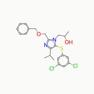 CC(O)Cn1c(COCc2ccccc2)nc(C(C)C)c1Sc1cc(Cl)cc(Cl)c1